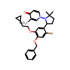 CCOC(=O)c1cn(N2C(c3cc(OCCC4CC4)c(OCc4ccccc4)cc3Br)CCC2(C)C)ccc1=O